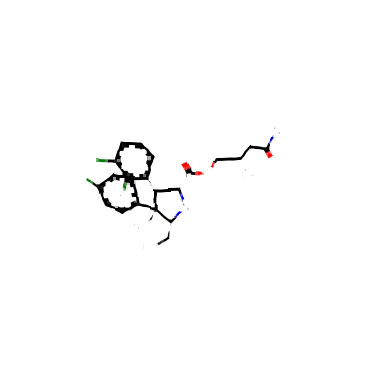 CC(C)(C)C[C@@H]1N[C@@H](C(=O)OC[C@@H](O)CC(N)=O)[C@H](c2cccc(Cl)c2F)[C@@]1(C#N)c1ccc(F)cc1